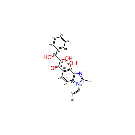 CC=Cn1c(C)nc2c(O)c(C(=O)[C@H](O)[C@@H](O)c3ccccc3)ccc21